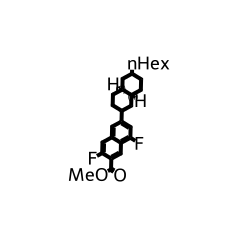 CCCCCCC1CC[C@@H]2CC(c3cc(F)c4cc(C(=O)OC)c(F)cc4c3)CC[C@H]2C1